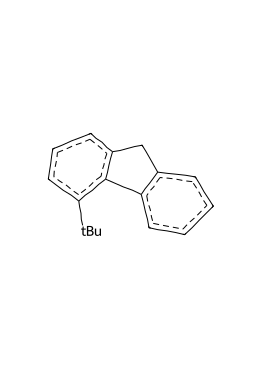 CC(C)(C)c1cccc2c1-c1ccccc1C2